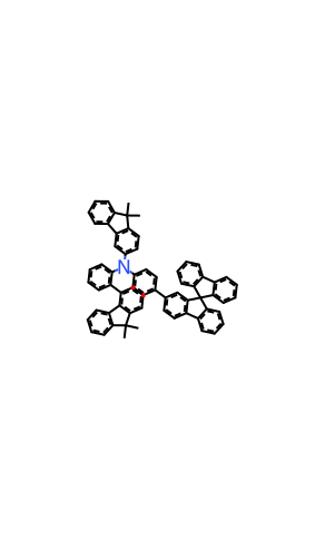 CC1(C)c2ccccc2-c2cc(N(c3ccc(-c4ccc5c(c4)C4(c6ccccc6-c6ccccc64)c4ccccc4-5)cc3)c3ccccc3-c3cccc4c3-c3ccccc3C4(C)C)ccc21